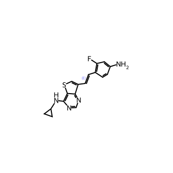 Nc1ccc(/C=C/c2csc3c(NC4CC4)ncnc23)c(F)c1